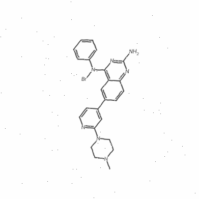 CN1CCN(c2cc(-c3ccc4nc(N)nc(N(Br)c5ccccc5)c4c3)ccn2)CC1